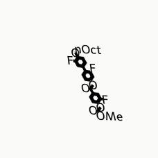 CCCCCCCCOc1ccc(-c2ccc(OC(=O)c3ccc(OC(=O)OC)c(F)c3)cc2F)cc1F